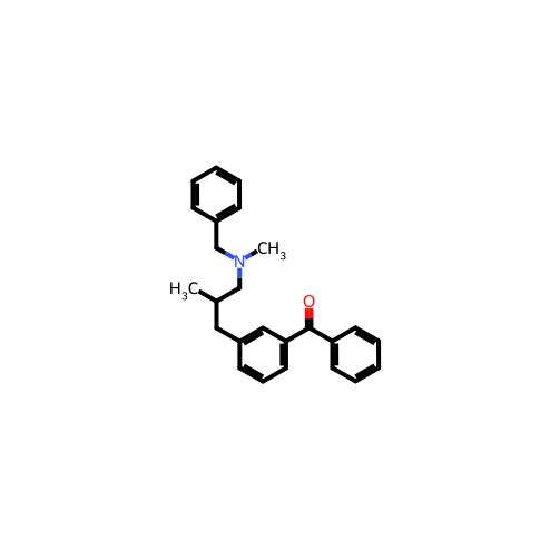 CC(Cc1cccc(C(=O)c2ccccc2)c1)CN(C)Cc1ccccc1